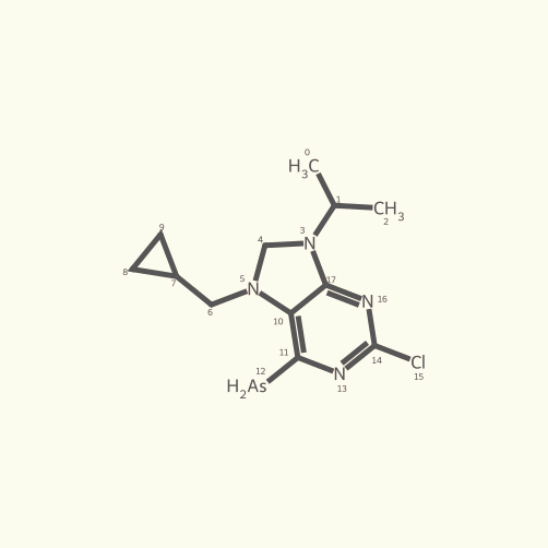 CC(C)N1CN(CC2CC2)c2c([AsH2])nc(Cl)nc21